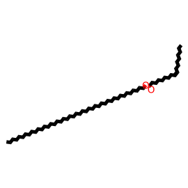 CCCCCCCC/C=C\CCCCCCCC(=O)OCCCCCCCCCCCCCCCCCCCCCCCCCCCCCCCCCCCCCCCCCCCC